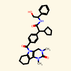 CN1Cc2c(c3c(n2C(=O)c2ccc(C(C(=O)NC(CO)c4ccccc4)C4CCCC4)cc2)CCCC3)N(C)C1=O